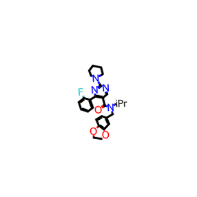 CC(C)N(Cc1ccc2c(c1)OCCO2)C(=O)c1cnc(N2CCCCC2)nc1-c1ccccc1F